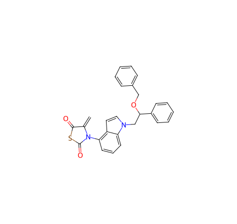 C=C1C(=O)SC(=O)N1c1cccc2c1ccn2CC(OCc1ccccc1)c1ccccc1